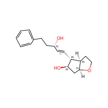 O[C@H](/C=C/[C@@H]1[C@H]2CCO[C@H]2C[C@H]1O)CCc1ccccc1